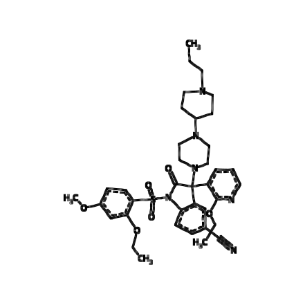 CCCN1CCC(N2CCN(C3(c4cccnc4OCC)C(=O)N(S(=O)(=O)c4ccc(OC)cc4OCC)c4ccc(C#N)cc43)CC2)CC1